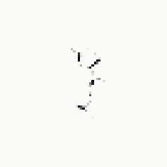 C/C(=C\CC(=O)O)c1csc(N)n1